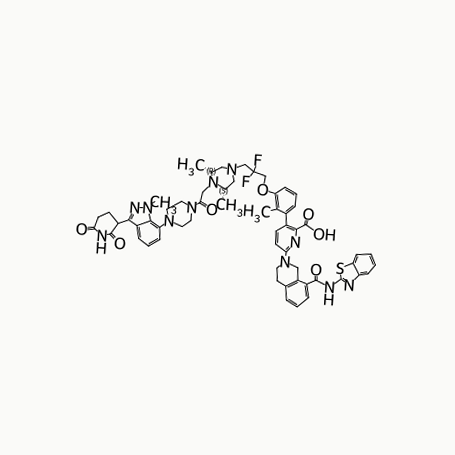 Cc1c(OCC(F)(F)CN2C[C@@H](C)N(CC(=O)N3CCN(c4cccc5c(C6CCC(=O)NC6=O)nn(C)c45)CC3)[C@@H](C)C2)cccc1-c1ccc(N2CCc3cccc(C(=O)Nc4nc5ccccc5s4)c3C2)nc1C(=O)O